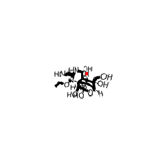 CCON1C(=N)N[C@H](O)[C@H]2[C@H]3O[C@]4(O)O[C@@H](C(O)[C@@]21[C@@H]4O)[C@]3(O)CO